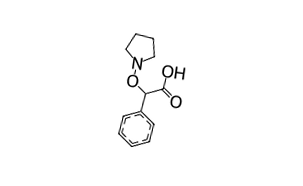 O=C(O)C(ON1CCCC1)c1ccccc1